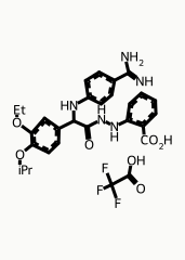 CCOc1cc(C(Nc2ccc(C(=N)N)cc2)C(=O)NNc2ccccc2C(=O)O)ccc1OC(C)C.O=C(O)C(F)(F)F